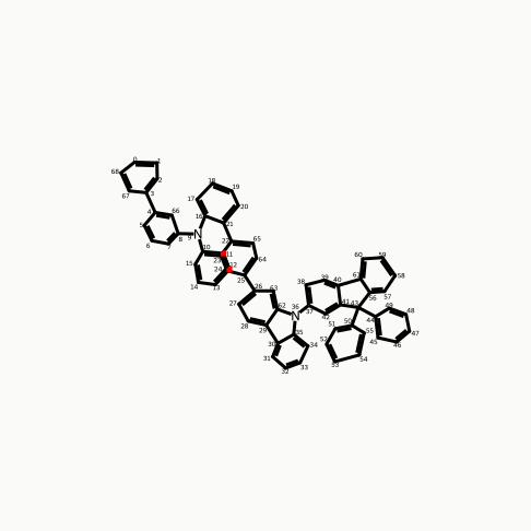 c1ccc(-c2cccc(N(c3ccccc3)c3ccccc3-c3ccc(-c4ccc5c6ccccc6n(-c6ccc7c(c6)C(c6ccccc6)(c6ccccc6)c6ccccc6-7)c5c4)cc3)c2)cc1